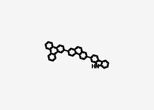 c1ccc2c(c1)[nH]c1cc(-c3ccc4c(ccc5cc(-c6ccc7c8ccccc8c8ccccc8c7c6)ccc54)c3)ccc12